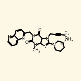 CC#CCN1C(N2CCC[C@@H](N)C2)=NC2C1C(=O)N(Cc1ccc3ncccc3n1)C(=O)N2C